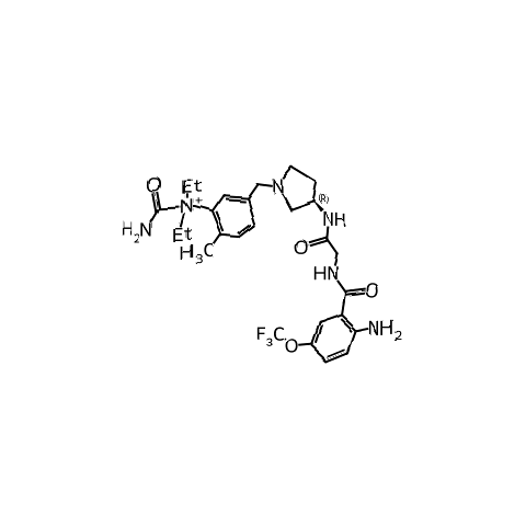 CC[N+](CC)(C(N)=O)c1cc(CN2CC[C@@H](NC(=O)CNC(=O)c3cc(OC(F)(F)F)ccc3N)C2)ccc1C